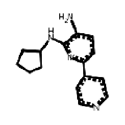 Nc1ccc(-c2ccncc2)nc1NC1CCCC1